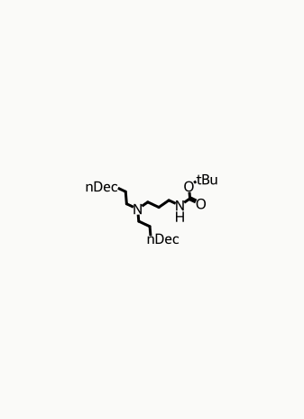 CCCCCCCCCCCCN(CCCCCCCCCCCC)CCCNC(=O)OC(C)(C)C